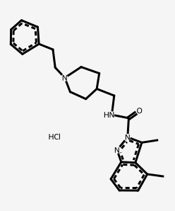 Cc1cccc2nn(C(=O)NCC3CCN(CCc4ccccc4)CC3)c(C)c12.Cl